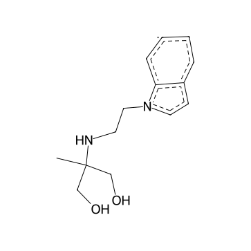 CC(CO)(CO)NCCn1ccc2cc[c]cc21